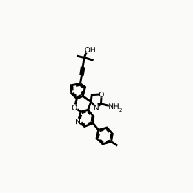 Cc1ccc(-c2cnc3c(c2)C2(COC(N)=N2)c2cc(C#CC(C)(C)O)ccc2O3)cc1